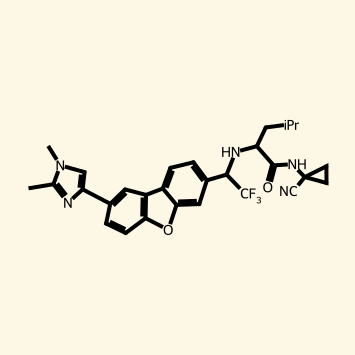 Cc1nc(-c2ccc3oc4cc(C(NC(CC(C)C)C(=O)NC5(C#N)CC5)C(F)(F)F)ccc4c3c2)cn1C